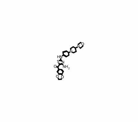 Nc1nc(NC2=CCC(N3CCC(N4CCOCC4)CC3)C=C2)sc1C(=O)c1ccc2c(c1)OCCO2